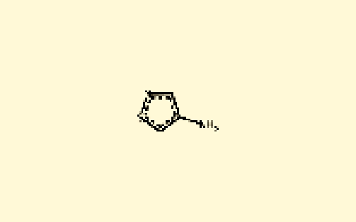 Nc1cnsc1